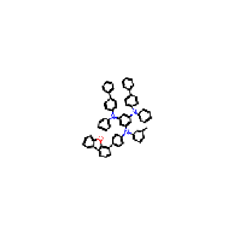 Cc1cccc(N(c2ccc(-c3cccc4c3oc3ccccc34)cc2)c2cc(N(c3ccccc3)c3ccc(-c4ccccc4)cc3)cc(N(c3ccccc3)c3ccc(-c4ccccc4)cc3)c2)c1